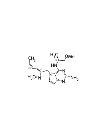 C=N/C(=C\C=C/C)Cn1ccc2nc(N)nc(N[C@@H](C)COC)c21